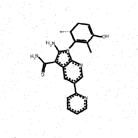 CC1=C(n2c(N)c(C(N)=O)c3cc(-c4ccccn4)cnc32)[C@H](C)CC=C1O